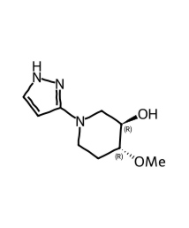 CO[C@@H]1CCN(c2cc[nH]n2)C[C@H]1O